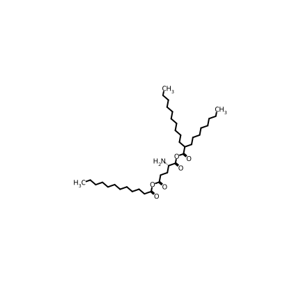 CCCCCCCCCCCC(=O)OC(=O)CC[C@H](N)C(=O)OC(=O)C(CCCCCCCC)CCCCCCCCCC